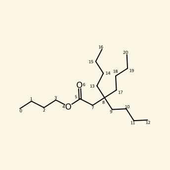 CCCCOC(=O)CC(CCCC)(CCCC)CCCC